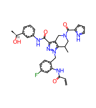 C=CC(=O)Nc1cc(F)ccc1Cn1nc(C(=O)Nc2cccc([C@H](C)O)c2)c2c1C(C)CN(C(=O)c1ccc[nH]1)C2